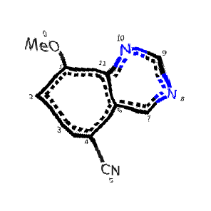 COc1ccc(C#N)c2cncnc12